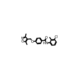 Cc1noc(C)c1COc1ccc(C(=O)Nc2cccc(Cl)c2C)cc1